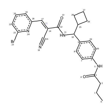 CCCC(=O)Nc1ccc(C(NC(=O)/C(C#N)=C/c2cccc(Br)n2)C2CCC2)cc1